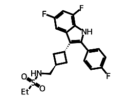 CCS(=O)(=O)NC[C@H]1C[C@H](c2c(-c3ccc(F)cc3)[nH]c3c(F)cc(F)cc32)C1